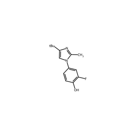 Cc1nc(C(C)(C)C)cn1-c1ccc(O)c(F)c1